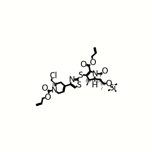 C=CCOC(=O)C1=C(Sc2nc(C3=CCN(C(=O)OCC=C)[C@@H](CCl)C3)cs2)[C@H](C)[C@@H]2[C@@H]([C@@H](C)O[Si](C)(C)C)C(=O)N12